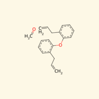 C=CCc1ccccc1Oc1ccccc1CC=C.C=O